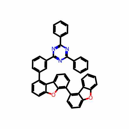 c1ccc(-c2nc(-c3ccccc3)nc(-c3cccc(-c4cccc5oc6c(-c7cccc8oc9ccccc9c78)cccc6c45)c3)n2)cc1